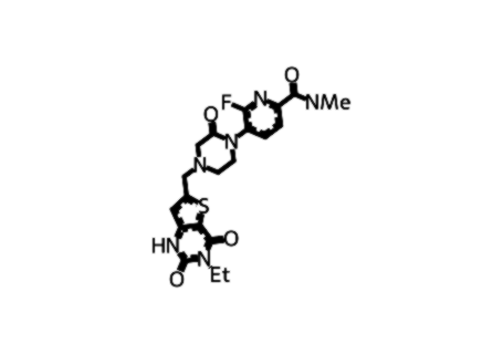 CCn1c(=O)[nH]c2cc(CN3CCN(c4ccc(C(=O)NC)nc4F)C(=O)C3)sc2c1=O